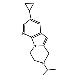 CC(C)N1CCn2c(cc3cc(C4CC4)cnc32)C1